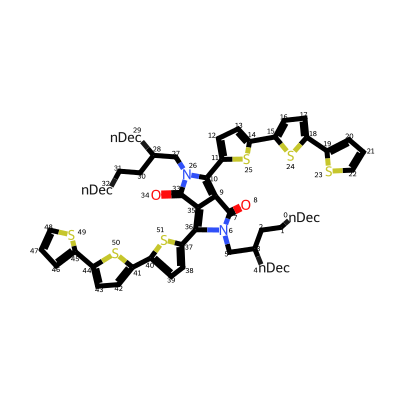 CCCCCCCCCCCCC(CCCCCCCCCC)CN1C(=O)C2=C(c3ccc(-c4ccc(-c5cccs5)s4)s3)N(CC(CCCCCCCCCC)CCCCCCCCCCCC)C(=O)C2=C1c1ccc(-c2ccc(-c3cccs3)s2)s1